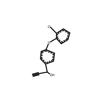 C#CC(O)c1ccc(Oc2ccccc2Cl)cc1